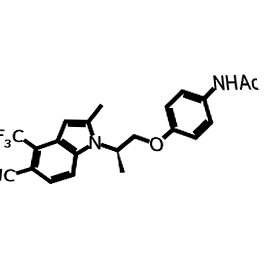 CC(=O)Nc1ccc(OC[C@@H](C)n2c(C)cc3c(C(F)(F)F)c(C#N)ccc32)cc1